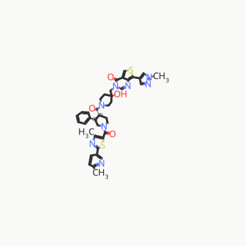 Cc1ccc(-c2nc(C)c(C(=O)N3CC[C@@H](C(=O)N4CCC(O)(Cn5cnc6c(-c7cnn(C)c7)scc6c5=O)CC4)[C@H](c4ccccc4)C3)s2)cn1